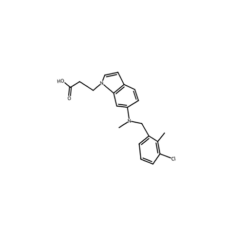 Cc1c(Cl)cccc1CN(C)c1ccc2ccn(CCC(=O)O)c2c1